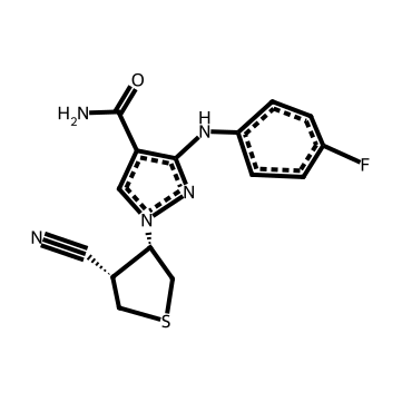 N#C[C@H]1CSC[C@H]1n1cc(C(N)=O)c(Nc2ccc(F)cc2)n1